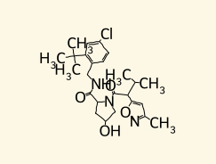 Cc1cc(C(C(=O)N2CC(O)CC2C(=O)NCc2ccc(Cl)cc2C(C)(C)C)C(C)C)on1